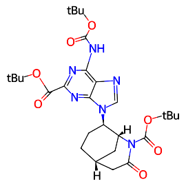 CC(C)(C)OC(=O)Nc1nc(C(=O)OC(C)(C)C)nc2c1ncn2[C@@H]1CC[C@H]2CC(=O)N(C(=O)OC(C)(C)C)[C@@H]1C2